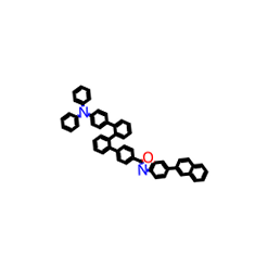 c1ccc(N(c2ccccc2)c2ccc(-c3ccccc3-c3ccccc3-c3ccc(-c4nc5ccc(-c6ccc7ccccc7c6)cc5o4)cc3)cc2)cc1